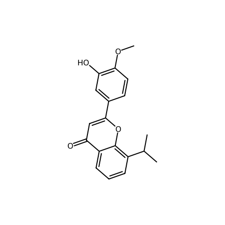 COc1ccc(-c2cc(=O)c3cccc(C(C)C)c3o2)cc1O